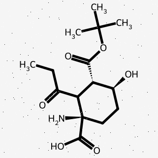 CCC(=O)C1[C@H](C(=O)OC(C)(C)C)[C@@H](O)CC[C@]1(N)C(=O)O